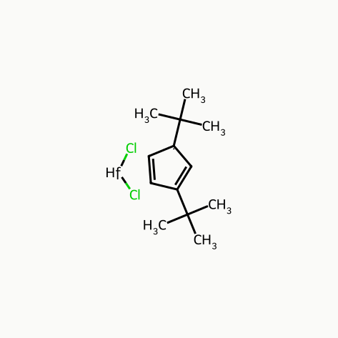 CC(C)(C)[C]1C=CC(C(C)(C)C)=C1.[Cl][Hf][Cl]